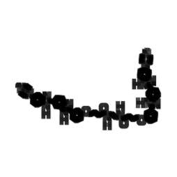 CN1CCN(c2ccc3[nH]c(-c4ccc5nc(-c6cccc(OCCCC(=O)NCCNC(=O)CCCOc7cccc(-c8nc9ccc(-c%10nc%11cc(N%12CCN(C)CC%12)ccc%11[nH]%10)cc9[nH]8)c7)c6)[nH]c5c4)nc3c2)CC1